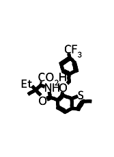 CCC(C)(C)[C@H](NC(=O)C1=C(OCc2ccc(C(F)(F)F)cc2)C2SC(C)=CC2C=C1)C(=O)O